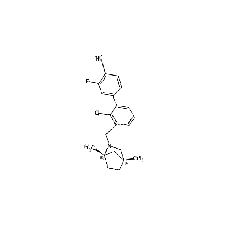 C[C@@]12CC[C@@](C)(C1)N(Cc1cccc(-c3ccc(C#N)c(F)c3)c1Cl)C2